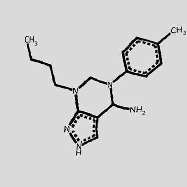 CCCCN1CN(c2ccc(C)cc2)C(N)c2c[nH]nc21